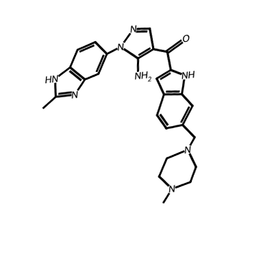 Cc1nc2cc(-n3ncc(C(=O)c4cc5ccc(CN6CCN(C)CC6)cc5[nH]4)c3N)ccc2[nH]1